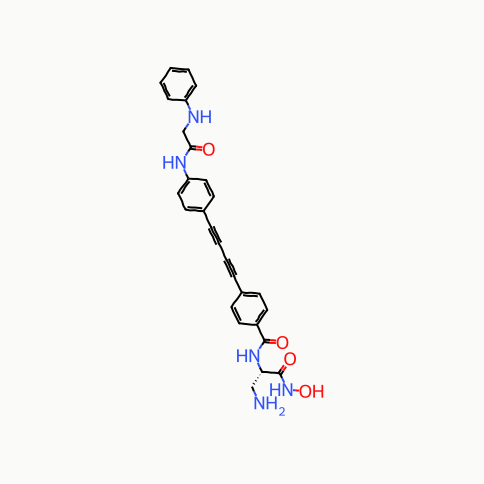 NC[C@H](NC(=O)c1ccc(C#CC#Cc2ccc(NC(=O)CNc3ccccc3)cc2)cc1)C(=O)NO